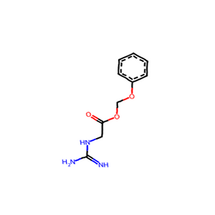 N=C(N)NCC(=O)OCOc1ccccc1